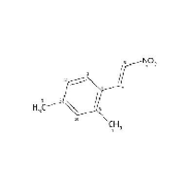 Cc1ccc(/C=C/[N+](=O)[O-])c(C)c1